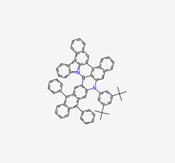 CC(C)(C)c1cc(N2c3cc4c(-c5ccccc5)c5ccccc5c(-c5ccccc5)c4cc3B3c4c2cc2ccccc2c4-c2cc4ccccc4c4c5ccccc5n3c24)cc(C(C)(C)C)c1